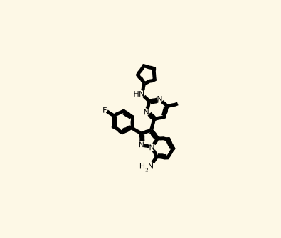 Cc1cc(-c2c(-c3ccc(F)cc3)nn3c(N)cccc23)nc(NC2CCCC2)n1